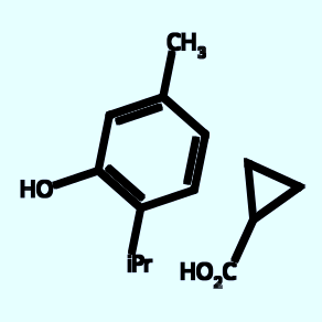 Cc1ccc(C(C)C)c(O)c1.O=C(O)C1CC1